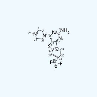 CN1CCN(c2nc(N)nc3c2sc2cc(C(F)(F)F)ccc23)CC1